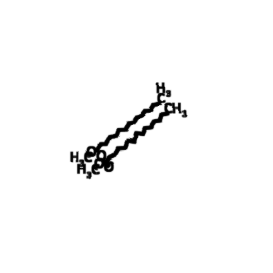 CCCCCCCCCCCCCCCC(=O)OC.CCCCCCCCCCCCCCCC(=O)OC